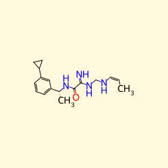 C/C=C\NCNC(=N)C(=O)N[C@H](C)c1cccc(C2CC2)c1